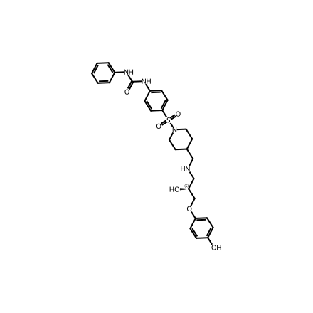 O=C(Nc1ccccc1)Nc1ccc(S(=O)(=O)N2CCC(CNC[C@H](O)COc3ccc(O)cc3)CC2)cc1